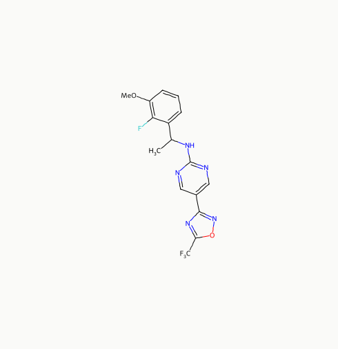 COc1cccc(C(C)Nc2ncc(-c3noc(C(F)(F)F)n3)cn2)c1F